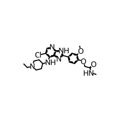 CCN1CCC(Nc2c(Cl)cnc3[nH]c(-c4ccc(OCC(=O)NC)c(OC)c4)nc23)CC1